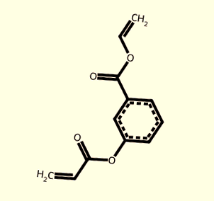 C=COC(=O)c1cccc(OC(=O)C=C)c1